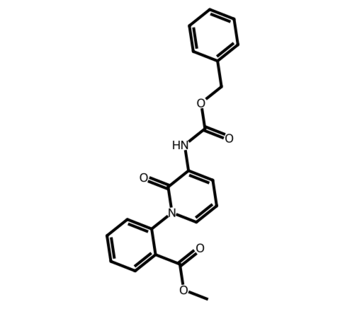 COC(=O)c1ccccc1-n1cccc(NC(=O)OCc2ccccc2)c1=O